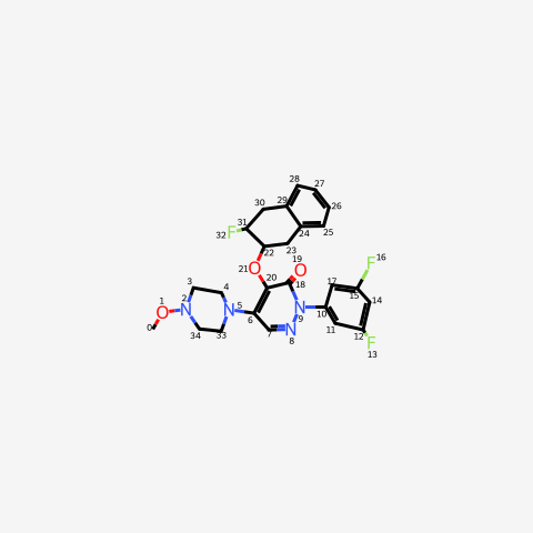 CON1CCN(c2cnn(-c3cc(F)cc(F)c3)c(=O)c2OC2Cc3ccccc3CC2F)CC1